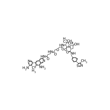 Cc1ncsc1-c1ccc(CNC(=O)[C@@H]2C[C@@H](O)CN2C(=O)[C@@H](NC(=O)COCC(=O)NCCC(=O)Nc2cc3cc(-c4cncc(N)c4C)c(F)c(N)c3cn2)C(C)(C)C)cc1